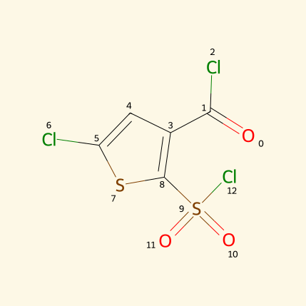 O=C(Cl)c1cc(Cl)sc1S(=O)(=O)Cl